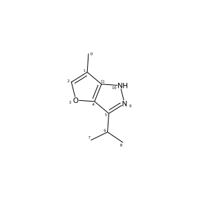 Cc1coc2c(C(C)C)n[nH]c12